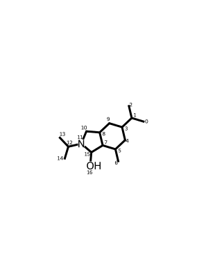 CC(C)C1CC(C)C2C(C1)CN(C(C)C)C2O